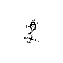 CC(C)(C)OC(=O)N1C[C@@H]2C[C@H]1C[C@@H]2I